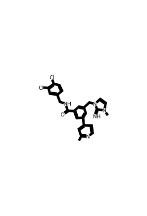 Cc1cc(-c2cc(Cn3ccn(C)c3=N)cc(C(=O)NCc3ccc(Cl)c(Cl)c3)c2)ccn1